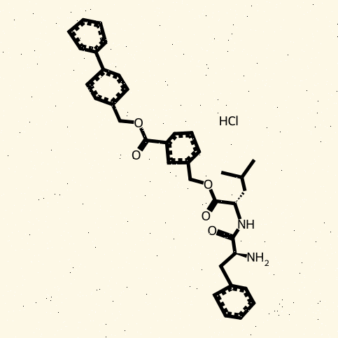 CC(C)C[C@H](NC(=O)[C@@H](N)Cc1ccccc1)C(=O)OCc1cccc(C(=O)OCc2ccc(-c3ccccc3)cc2)c1.Cl